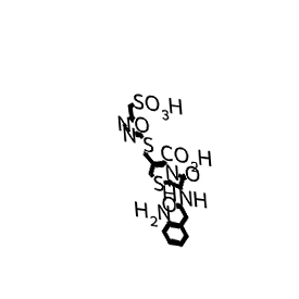 NC1=C(CC(=O)NC2C(=O)N3C(C(=O)O)=C(CSc4nnc(CS(=O)(=O)O)o4)CS[C@H]23)CC=CC1